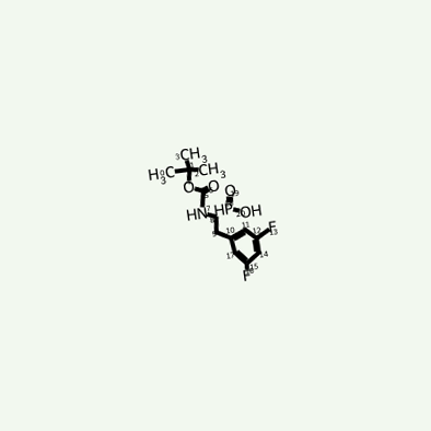 CC(C)(C)OC(=O)NC(Cc1cc(F)cc(F)c1)[PH](=O)O